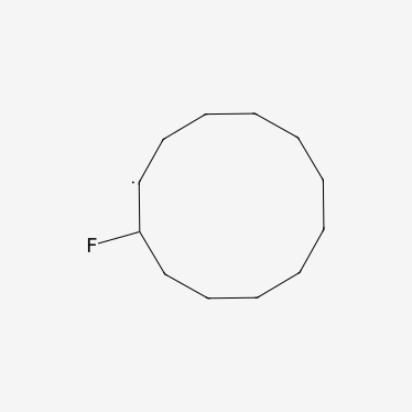 FC1[CH]CCCCCCCCCC1